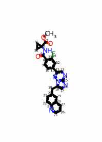 COC(=O)C1(NC(=O)c2ccc(-c3cnc4ncc(Cc5ccc6ncccc6c5)n4n3)cc2F)CC1